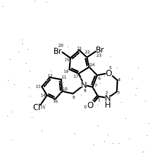 O=C1NCCOc2c1n(Cc1cccc(Cl)c1)c1cc(Br)cc(Br)c21